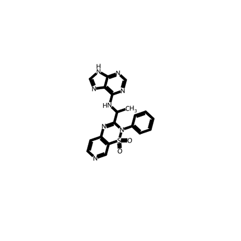 CC(Nc1ncnc2[nH]cnc12)C1=Nc2ccncc2S(=O)(=O)N1c1ccccc1